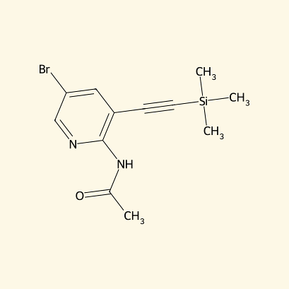 CC(=O)Nc1ncc(Br)cc1C#C[Si](C)(C)C